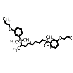 C=CCOc1cccc([Si](C)(C)CCCCCCC(C)[Si](C)(C)c2cccc(OCC=C)c2)c1